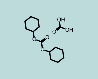 O=C(O)O.O=C(OC1CCCCC1)OC1CCCCC1